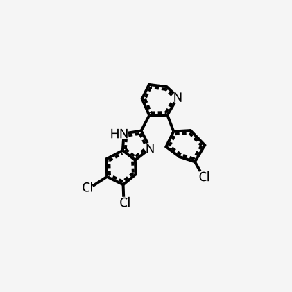 Clc1ccc(-c2ncccc2-c2nc3cc(Cl)c(Cl)cc3[nH]2)cc1